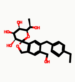 CCc1ccc(Cc2cc3c(cc2CO)CO[C@]32O[C@H]([C@@H](C)O)[C@@H](O)[C@H](O)[C@H]2O)cc1